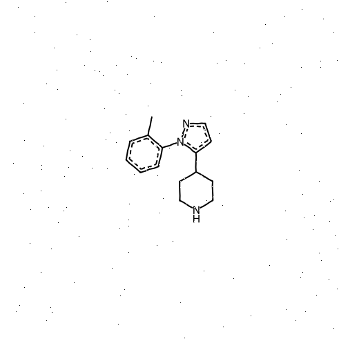 Cc1ccccc1-n1nccc1C1CCNCC1